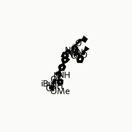 CC[C@H](C)[C@H](NC(=O)OC)C(=O)N1CCC[C@H]1c1ncc(-c2ccc(-c3ccc4c(ccc5nc([C@@H]6C[C@H](COCC7CCC7)CN6C(=O)[C@H](NC(=O)C6CC6)c6ccccc6)[nH]c54)c3)cc2)[nH]1